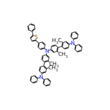 Cc1cc(N(c2ccccc2)c2ccccc2)ccc1-c1ccc(N(c2ccc(-c3ccc(-c4ccccc4)s3)cc2)c2ccc(-c3ccc(N(c4ccccc4)c4ccccc4)cc3C)c(C)c2)cc1C